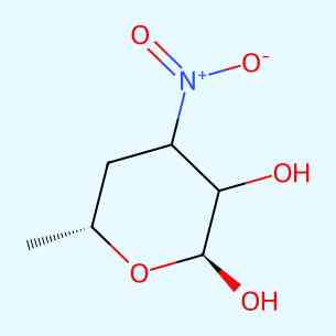 C[C@@H]1CC([N+](=O)[O-])C(O)[C@@H](O)O1